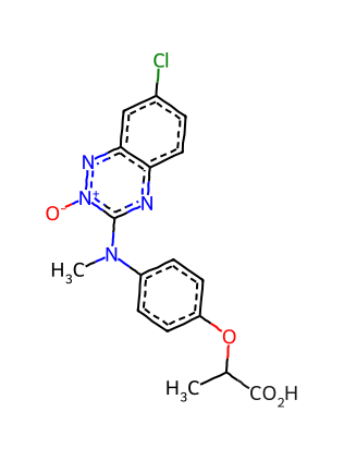 CC(Oc1ccc(N(C)c2nc3ccc(Cl)cc3n[n+]2[O-])cc1)C(=O)O